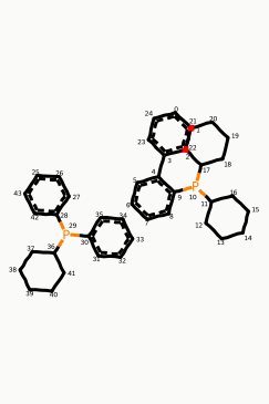 c1ccc(-c2ccccc2P(C2CCCCC2)C2CCCCC2)cc1.c1ccc(P(c2ccccc2)C2CCCCC2)cc1